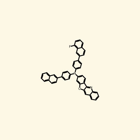 Fc1cccc2ccc(-c3ccc(N(c4ccc(-c5ccc6ccccc6c5)cc4)c4ccc5c(c4)oc4cc6ccccc6nc45)cc3)cc12